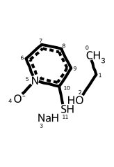 CCO.[NaH].[O-][n+]1ccccc1S